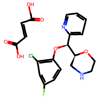 Fc1ccc(O[C@@H](c2ccccn2)[C@@H]2CNCCO2)c(Cl)c1.O=C(O)C=CC(=O)O